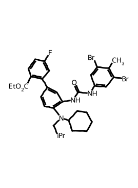 CCOC(=O)c1ccc(F)cc1-c1ccc(N(CC(C)C)C2CCCCC2)c(NC(=O)Nc2cc(Br)c(C)c(Br)c2)c1